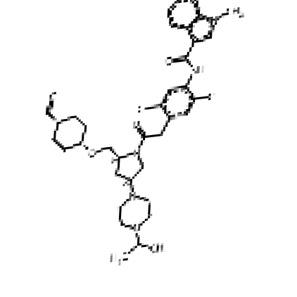 CC(C)N1CCN([C@H]2C[C@@H](CO[C@H]3CC[C@H](C=O)CC3)N(C(=O)Cc3cc(Cl)c(NC(=O)c4cn(C)c5ccccc45)cc3Cl)C2)CC1